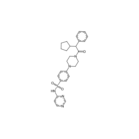 O=C(C(c1ccccc1)C1CCCC1)N1CCN(c2ccc(S(=O)(=O)Nc3ccncn3)cc2)CC1